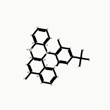 Cc1cc(C(C)(C)C)cc(C)c1N1c2ccccc2Oc2cc(C)c3ccccc3c21